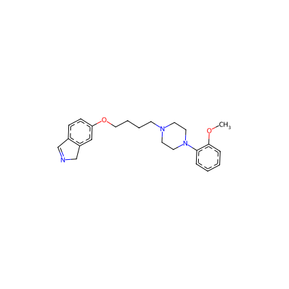 COc1ccccc1N1CCN(CCCCOc2ccc3c(c2)CN=C3)CC1